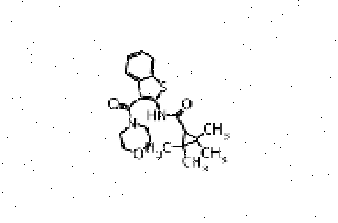 CC1(C)C(C(=O)Nc2sc3ccccc3c2C(=O)N2CCOCC2)C1(C)C